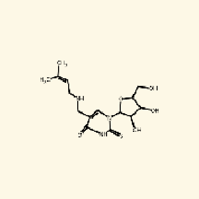 CC(C)=CCNCc1cn(C2OC(CO)C(O)C2O)c(=S)[nH]c1=O